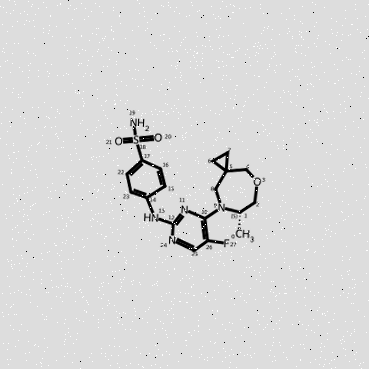 C[C@H]1COCC2(CC2)CN1c1nc(Nc2ccc(S(N)(=O)=O)cc2)ncc1F